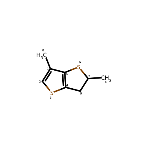 Cc1csc2c1SC(C)C2